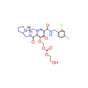 O=C(OCCO)OCOc1c2n(cc(C(=O)NCc3ccc(F)cc3F)c1=O)C[C@@H]1N(CC3CCCN31)C2=O